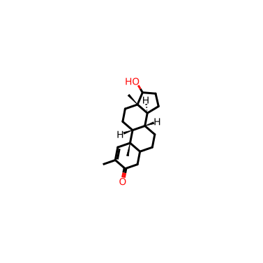 CC1=C[C@@]2(C)C(CC[C@@H]3[C@H]2CC[C@]2(C)C(O)CC[C@@H]32)CC1=O